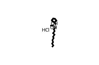 CCCCCCCCCCCCN(Cc1ccccc1)C(C)(O)O.Cl